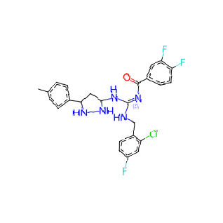 Cc1ccc(C2CC(N/C(=N\C(=O)c3ccc(F)c(F)c3)NCc3ccc(F)cc3Cl)NN2)cc1